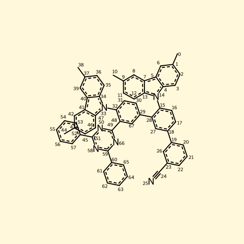 Cc1ccc2c(c1)c1cc(C)ccc1n2-c1ccc(-c2cccc(C#N)c2)cc1-c1ccc(-n2c3ccc(C)cc3c3cc(C)ccc32)c(-c2nc(-c3ccccc3)nc(-c3ccccc3)n2)c1